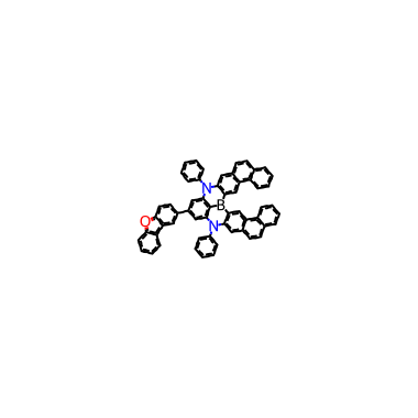 c1ccc(N2c3cc4ccc5ccccc5c4cc3B3c4cc5c(ccc6ccccc65)cc4N(c4ccccc4)c4cc(-c5ccc6oc7ccccc7c6c5)cc2c43)cc1